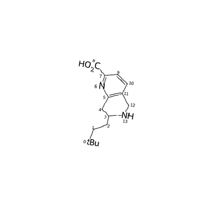 CC(C)(C)CCC1Cc2nc(C(=O)O)ccc2CN1